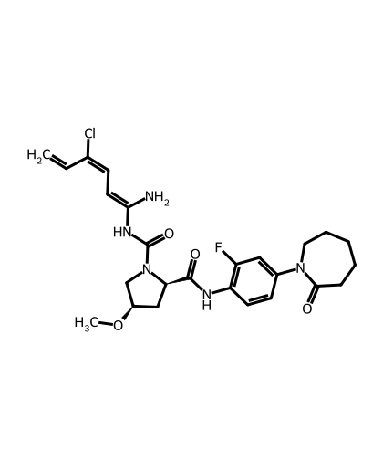 C=C/C(Cl)=C\C=C(/N)NC(=O)N1C[C@H](OC)C[C@@H]1C(=O)Nc1ccc(N2CCCCCC2=O)cc1F